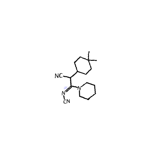 CC1(C)CCC(C(C#N)/C(=N/C#N)N2CCCCC2)CC1